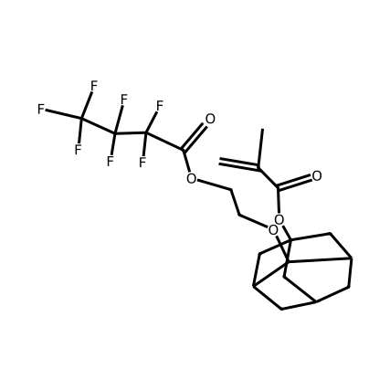 C=C(C)C(=O)OC12CC3CC(C1)C(OCCOC(=O)C(F)(F)C(F)(F)C(F)(F)F)C(C3)C2